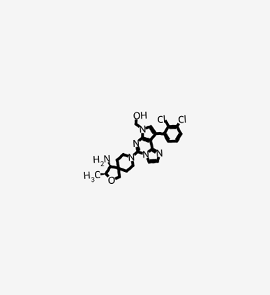 C[C@@H]1OCC2(CCN(c3nc4c(c(-c5cccc(Cl)c5Cl)cn4CO)c4nccn34)CC2)[C@@H]1N